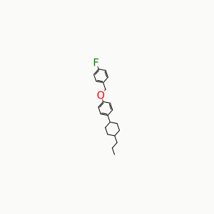 CCCC1CCC(c2ccc(OCc3ccc(F)cc3)cc2)CC1